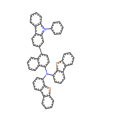 c1ccc(-n2c3ccccc3c3ccc(-c4ccc(N(c5cccc6c5sc5ccccc56)c5cccc6c5sc5ccccc56)c5ccccc45)cc32)cc1